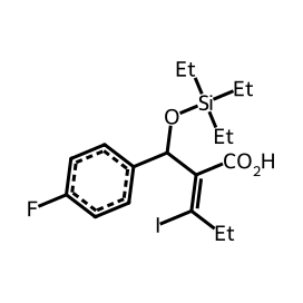 CCC(I)=C(C(=O)O)C(O[Si](CC)(CC)CC)c1ccc(F)cc1